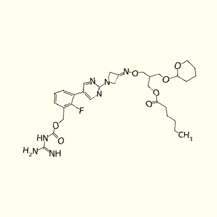 CCCCCC(=O)OCC(CON=C1CN(c2ncc(-c3cccc(COC(=O)NC(=N)N)c3F)cn2)C1)COC1CCCCO1